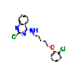 Clc1nc(NCCCCCOc2ccccc2Cl)c2ccccc2n1